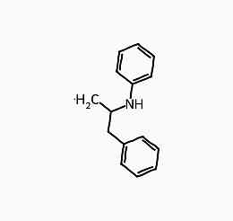 [CH2]C(Cc1ccccc1)Nc1ccccc1